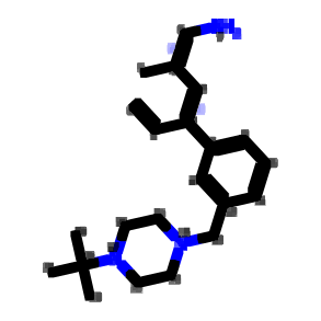 C=C/C(=C\C(C)=C/N)c1cccc(CN2CCN(C(C)(C)C)CC2)c1